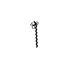 CCCCCCCCCCCCCCC1(C(=O)SC)OC1C